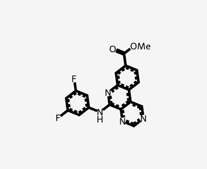 COC(=O)c1ccc2c(c1)nc(Nc1cc(F)cc(F)c1)c1ncncc12